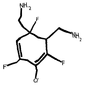 NCC1C(F)=C(Cl)C(F)=CC1(F)CN